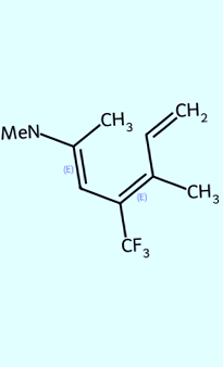 C=C/C(C)=C(\C=C(/C)NC)C(F)(F)F